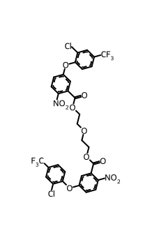 O=C(OCCOCCOC(=O)c1cc(Oc2ccc(C(F)(F)F)cc2Cl)ccc1[N+](=O)[O-])c1cc(Oc2ccc(C(F)(F)F)cc2Cl)ccc1[N+](=O)[O-]